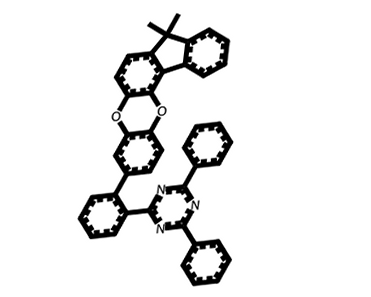 CC1(C)c2ccccc2-c2c1ccc1c2Oc2ccc(-c3ccccc3-c3nc(-c4ccccc4)nc(-c4ccccc4)n3)cc2O1